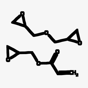 C(OCC1CO1)C1CO1.C=CC(=O)OCC1CO1